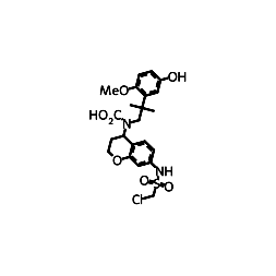 COc1ccc(O)cc1C(C)(C)CN(C(=O)O)C1CCOc2cc(NS(=O)(=O)CCl)ccc21